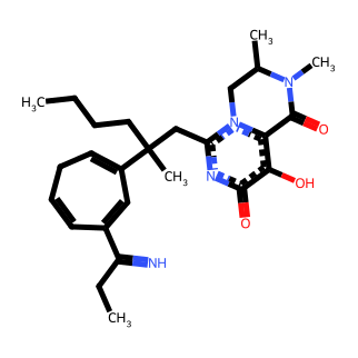 CCCCC(C)(Cc1nc(=O)c(O)c2n1CC(C)N(C)C2=O)C1=CCC=CC(C(=N)CC)=C1